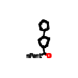 CCCCCC(=O)c1ccc(-c2ccccc2)cc1